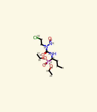 CCCC(NC(=O)N(CCCl)N=O)P(=O)(OCC)OCC